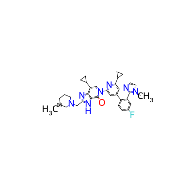 C[C@H]1CCCN(Cc2nc3c(C4CC4)cn(-c4cc(-c5ccc(F)cc5-c5nccn5C)cc(C5CC5)n4)c(=O)c3[nH]2)C1